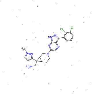 Cn1ccc(C2(CN)C3CCN(c4cnc5c(-c6cccc(Cl)c6Cl)n[nH]c5n4)CC32)n1